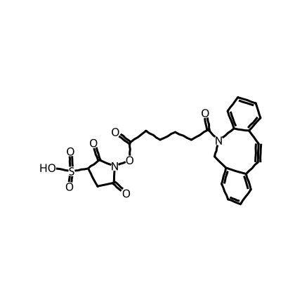 O=C(CCCCC(=O)N1Cc2ccccc2C#Cc2ccccc21)ON1C(=O)CC(S(=O)(=O)O)C1=O